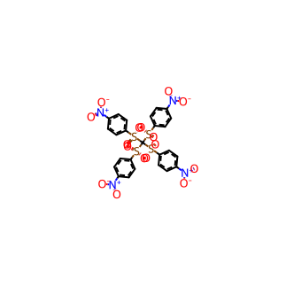 O=[N+]([O-])c1ccc(S(=O)(=O)C(S(=O)(=O)c2ccc([N+](=O)[O-])cc2)(S(=O)(=O)c2ccc([N+](=O)[O-])cc2)S(=O)(=O)c2ccc([N+](=O)[O-])cc2)cc1